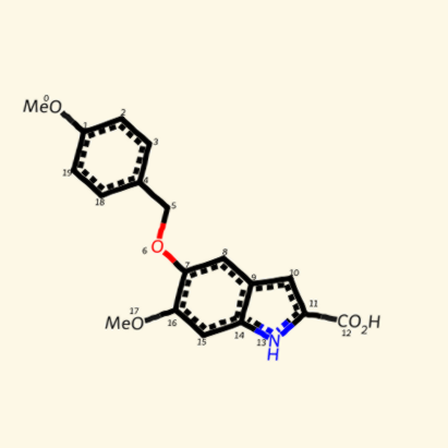 COc1ccc(COc2cc3cc(C(=O)O)[nH]c3cc2OC)cc1